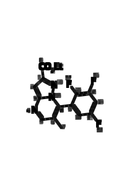 CCOC(=O)c1cc2ncc(C)c(-c3cc(F)cc(F)c3F)n2n1